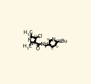 Cc1nn(C)c(C(=O)NCc2ccc(C(C)(C)C)nc2)c1Cl